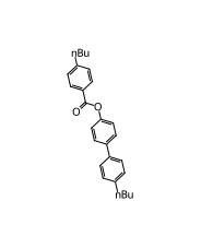 CCCCc1ccc(C(=O)Oc2ccc(-c3ccc(CCCC)cc3)cc2)cc1